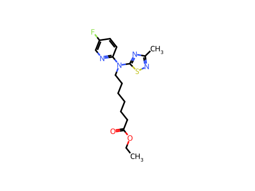 CCOC(=O)CCCCCCN(c1ccc(F)cn1)c1nc(C)ns1